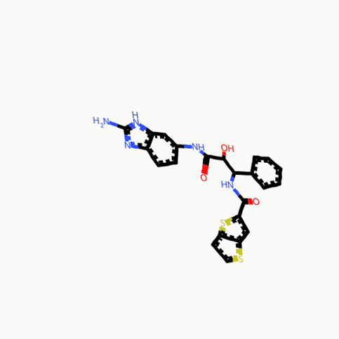 Nc1nc2ccc(NC(=O)C(O)C(NC(=O)c3cc4sccc4s3)c3ccccc3)cc2[nH]1